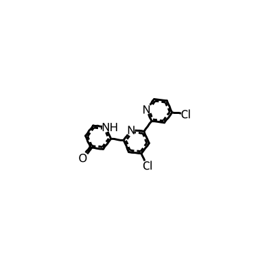 O=c1cc[nH]c(-c2cc(Cl)cc(-c3cc(Cl)ccn3)n2)c1